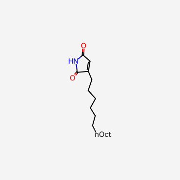 CCCCCCCCCCCCCCC1=CC(=O)NC1=O